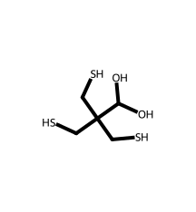 OC(O)C(CS)(CS)CS